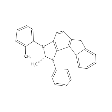 Cc1ccccc1N1c2ccc3c(c2N(c2ccccc2)[C@@H]1C)-c1ccccc1C3